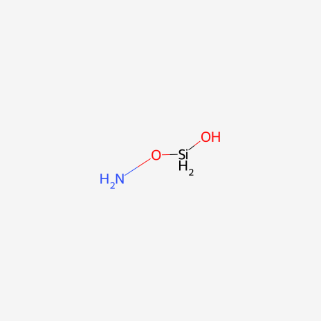 NO[SiH2]O